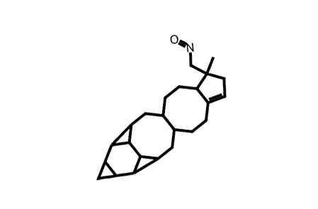 CC1(CN=O)CC=C2CCC3CC4C5C6CC6C6C(CC3CCC21)C6C45